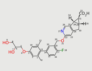 Cc1cc(OCC(O)CO)cc(C)c1-c1ccc(F)c(COc2cc3c(cn2)[C@H]2[C@@H](C3)[C@@H]2C(=O)O)c1